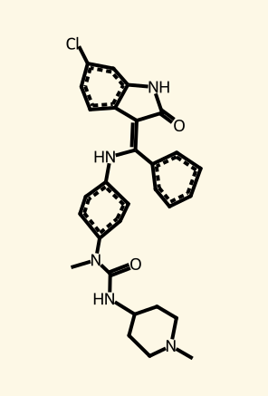 CN1CCC(NC(=O)N(C)c2ccc(NC(=C3C(=O)Nc4cc(Cl)ccc43)c3ccccc3)cc2)CC1